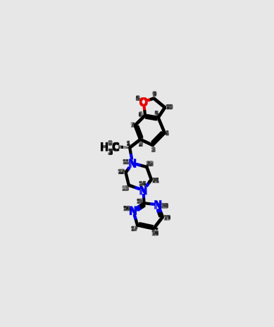 C[C@H](c1ccc2c(c1)OCC2)N1CCN(c2nc[c]cn2)CC1